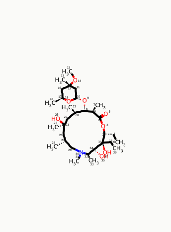 CC[C@H]1OC(=O)[C@H](C)[C@@H](O[C@H]2C[C@@](C)(OC)C[C@H](C)O2)[C@H](C)C[C@](C)(O)C[C@@H](C)CN(C)[C@H](C)[C@@H](O)[C@@]1(O)CC